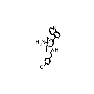 NC1=NC(c2cccc3ncccc23)=CC(NCCc2ccc(Cl)cc2)N1